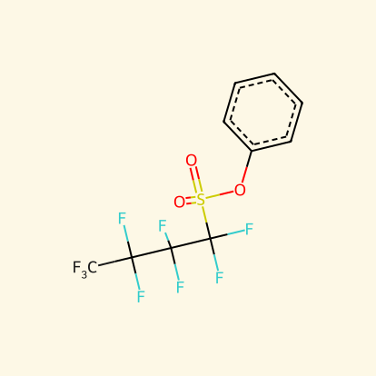 O=S(=O)(Oc1ccccc1)C(F)(F)C(F)(F)C(F)(F)C(F)(F)F